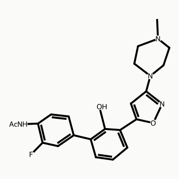 CC(=O)Nc1ccc(-c2cccc(-c3cc(N4CCN(C)CC4)no3)c2O)cc1F